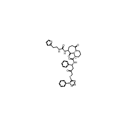 O=C(CSc1nnnn1-c1ccccc1)CC(NC(=O)[C@@H]1CCCN2C(=O)CCC(NC(=O)NCCc3cccs3)C(=O)N12)c1ccccc1